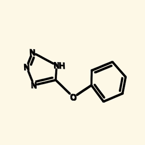 c1ccc(Oc2nnn[nH]2)cc1